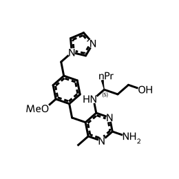 CCC[C@@H](CCO)Nc1nc(N)nc(C)c1Cc1ccc(Cn2ccnc2)cc1OC